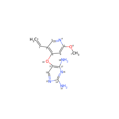 C=Cc1cnc(OC)cc1Oc1cnc(N)nc1N